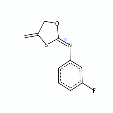 C=C1CO/C(=N/c2cccc(F)c2)S1